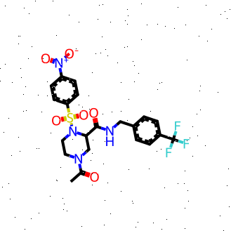 CC(=O)N1CCN(S(=O)(=O)c2ccc([N+](=O)[O-])cc2)C(C(=O)NCc2ccc(C(F)(F)F)cc2)C1